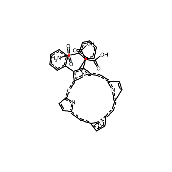 NS(=O)(=O)c1ccccc1-c1c(-c2ccccc2)c2cc3nc(cc4ccc(cc5nc(cc1n2CC(C(=O)O)C(=O)O)C=C5)[nH]4)C=C3